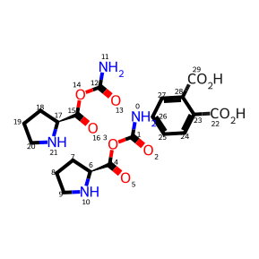 NC(=O)OC(=O)[C@@H]1CCCN1.NC(=O)OC(=O)[C@@H]1CCCN1.O=C(O)c1ccccc1C(=O)O